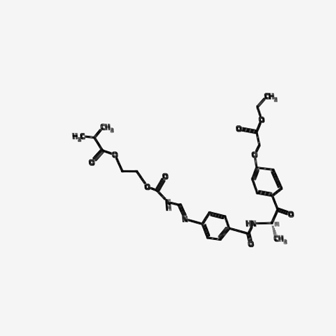 CCOC(=O)COc1ccc(C(=O)[C@H](C)NC(=O)c2ccc(N=CNC(=O)OCCOC(=O)C(C)C)cc2)cc1